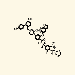 C[C@@H]1CCC(CN2CCN(c3ccc(C(=O)NS(=O)(=O)c4cc(F)c(NC[C@H]5COCCO5)c([N+](=O)[O-])c4)c(Oc4cnc5[nH]ccc5c4)c3)[C@H](C)C2)=C(c2ccc(Cl)cc2)C1